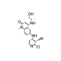 C[C@@H](CO)Nc1cc(=O)n(C)c2ccc(Nc3ccnc(Cl)c3C#N)cc12